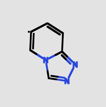 [c]1ccc2nncn2c1